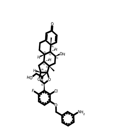 C[C@]12C=CC(=O)C=C1CC[C@@H]1[C@@H]2[C@@H](O)C[C@@]2(C)[C@H]1C[C@H]1O[C@H](c3c(F)ccc(OCc4cccc(N)c4)c3Cl)O[C@]12C(=O)CO